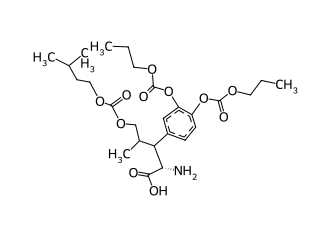 CCCOC(=O)Oc1ccc(C(C(C)COC(=O)OCCC(C)C)[C@H](N)C(=O)O)cc1OC(=O)OCCC